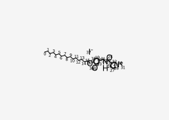 CCCCCCCCCCCCCCCCOc1ccc(CNC(=O)c2ccc[n+](CC)c2)cc1OC.[I-]